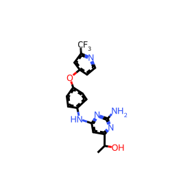 CC(O)c1cc(Nc2ccc(Oc3ccnc(C(F)(F)F)c3)cc2)nc(N)n1